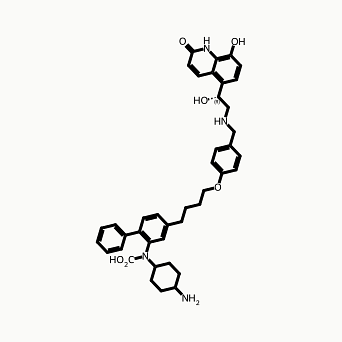 NC1CCC(N(C(=O)O)c2cc(CCCCOc3ccc(CNC[C@H](O)c4ccc(O)c5[nH]c(=O)ccc45)cc3)ccc2-c2ccccc2)CC1